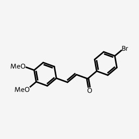 COc1ccc(/C=C/C(=O)c2ccc(Br)cc2)cc1OC